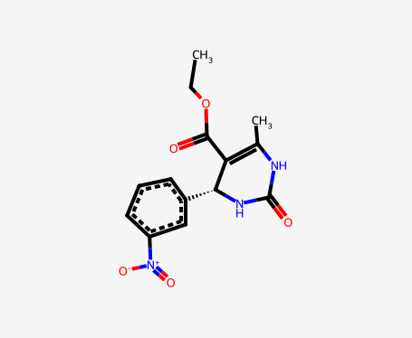 CCOC(=O)C1=C(C)NC(=O)N[C@@H]1c1cccc([N+](=O)[O-])c1